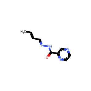 CC=CC=NNC(=O)c1cnccn1